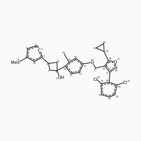 CSc1cccc(C2CC(O)(c3ccc(OCc4c(-c5c(Cl)cccc5Cl)noc4C4CC4)cc3C)C2)c1